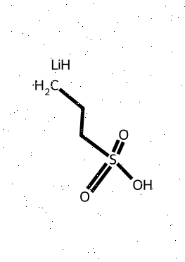 [CH2]CCS(=O)(=O)O.[LiH]